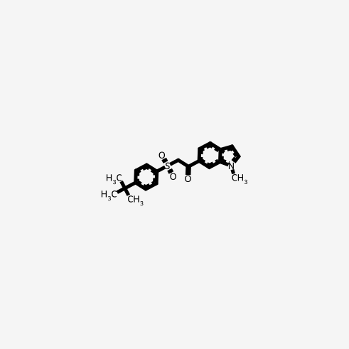 Cn1ccc2ccc(C(=O)CS(=O)(=O)c3ccc(C(C)(C)C)cc3)cc21